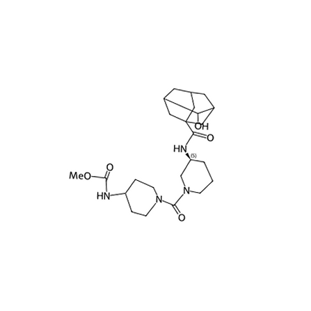 COC(=O)NC1CCN(C(=O)N2CCC[C@H](NC(=O)C34CC5CC(C3)C(O)C(C5)C4)C2)CC1